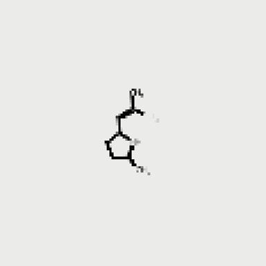 CC(C)=CC1CCC(C)N1